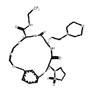 O=C(NCC(F)(F)F)[C@@H]1CCCCOc2cccc(c2)C[C@H](N2CCCS2(=O)=O)C(=O)N[C@@H](CCN2CCOCC2)C(=O)N1